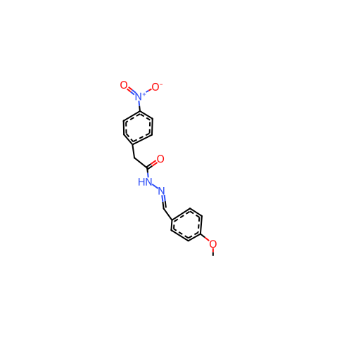 COc1ccc(/C=N/NC(=O)Cc2ccc([N+](=O)[O-])cc2)cc1